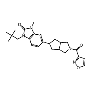 Cn1c(=O)n(CC(C)(C)C)c2ccc(C3CC4CN(C(=O)c5ccon5)CC4C3)nc21